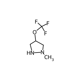 CN1CC(OC(F)(F)F)CN1